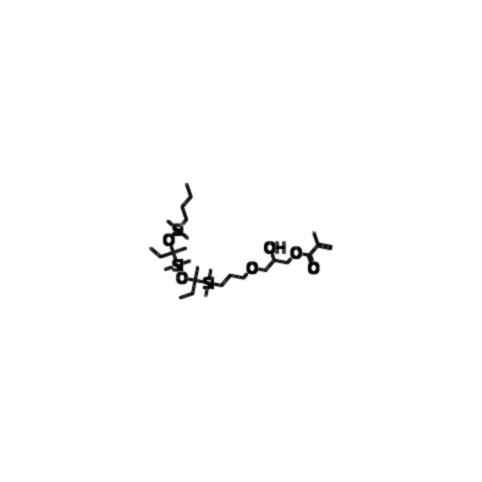 C=C(C)C(=O)OCC(O)COCCC[Si](C)(C)C(C)(CC)O[Si](C)(C)C(C)(CC)O[Si](C)(C)CCCC